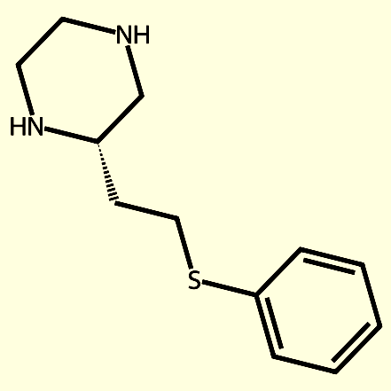 c1ccc(SCC[C@H]2CNCCN2)cc1